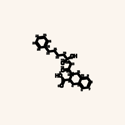 O=C(O)C1Cc2ccccc2CN1C(=O)CP(=O)(O)CCCCc1ccccc1